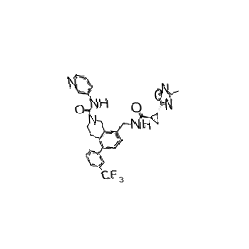 Cc1noc([C@@H]2C[C@H]2C(=O)NCc2ccc(-c3cccc(C(F)(F)F)c3)c3c2CN(C(=O)Nc2cccnc2)CC3)n1